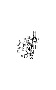 COc1cn(CC2=CC=CC(C)C2)c(Nc2cc(C)cc3[nH]ccc23)nc1=O